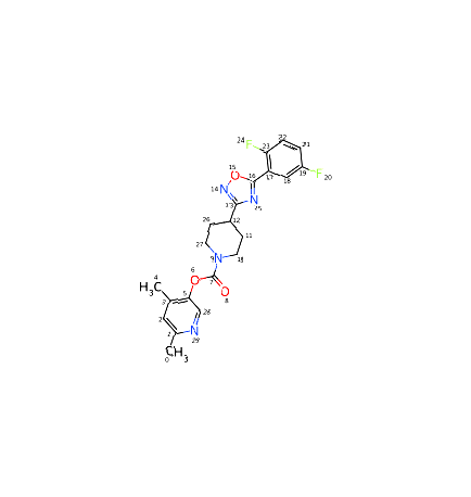 Cc1cc(C)c(OC(=O)N2CCC(c3noc(-c4cc(F)ccc4F)n3)CC2)cn1